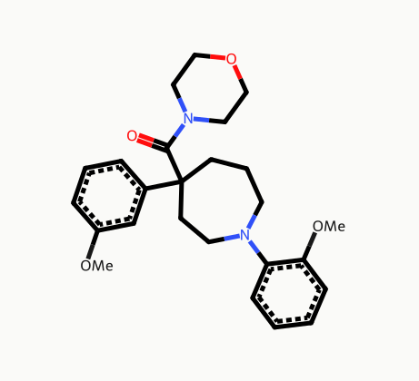 COc1cccc(C2(C(=O)N3CCOCC3)CCCN(c3ccccc3OC)CC2)c1